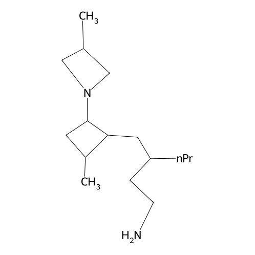 CCCC(CCN)CC1C(C)CC1N1CC(C)C1